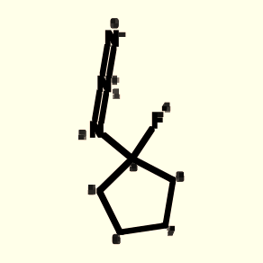 [N-]=[N+]=NC1(F)CCCC1